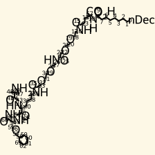 CCCCCCCCCCCCCCCCCC(=O)N[C@@H](CCC(=O)NCCOCCOCC(=O)NCCOCCOCC(=O)NCCCC[C@H](NCC(=O)C(C)(C)N)C(=O)CN[C@@H](COCc1ccccc1)C(N)=O)C(=O)O